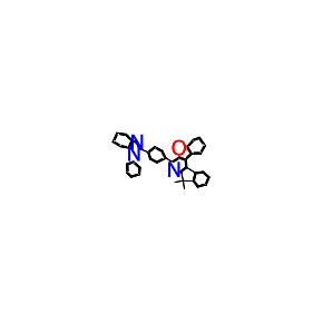 CC1(C)c2ccccc2-c2c1nc(-c1ccc(-c3nc4ccccc4n3-c3ccccc3)cc1)c1oc3ccccc3c21